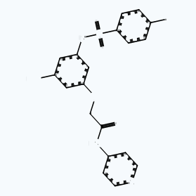 Cc1cc(NS(=O)(=O)c2ccc(F)cc2)cc(OCC(=O)Nc2ccncc2)c1